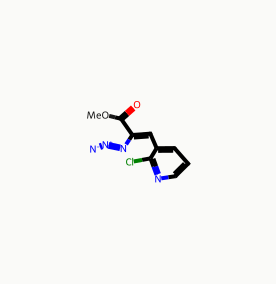 COC(=O)/C(=C/c1cccnc1Cl)N=[N+]=[N-]